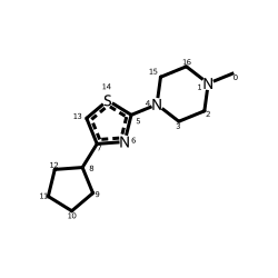 CN1CCN(c2nc(C3CCCC3)cs2)CC1